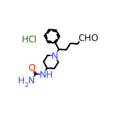 Cl.NC(=O)NC1CCN(C(CCCC=O)c2ccccc2)CC1